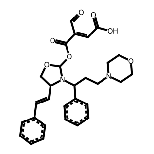 O=C/C(=C\C(=O)O)C(=O)OC1OCC(C=Cc2ccccc2)N1C(CCN1CCOCC1)c1ccccc1